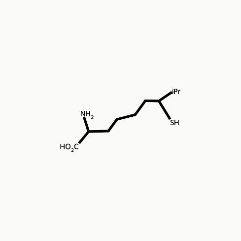 CC(C)C(S)CCCCC(N)C(=O)O